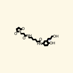 O=C(CCN1C(=O)C=CC1=O)NCCCCCC(=O)Nc1ccc(O)c(/C=C/CO)c1